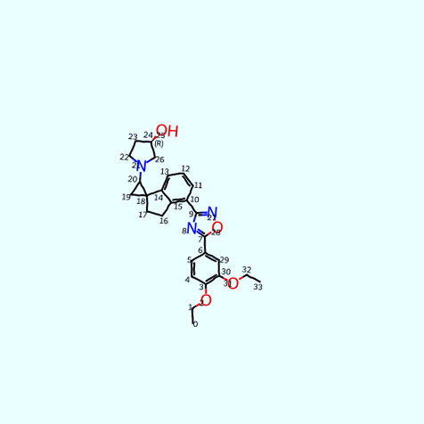 CCOc1ccc(-c2nc(-c3cccc4c3CCC43CC3N3CC[C@@H](O)C3)no2)cc1OCC